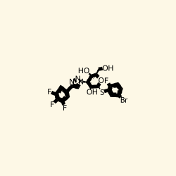 OC[C@H]1O[C@H](Sc2cc(Br)ccc2F)[C@H](O)[C@@H](n2cc(-c3cc(F)c(F)c(F)c3)nn2)[C@H]1O